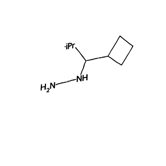 C[C](C)C(NN)C1CCC1